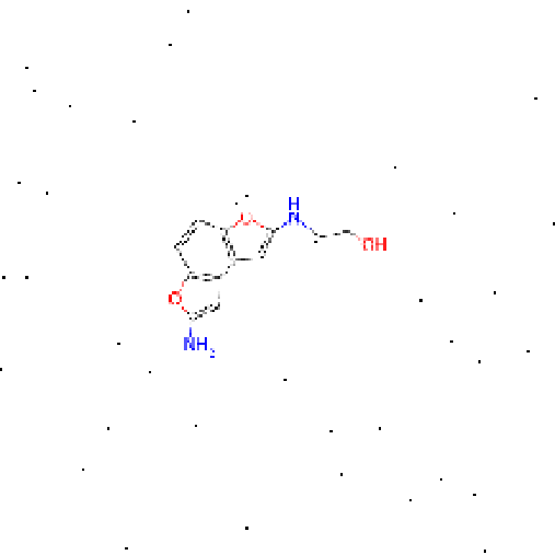 Nc1cc2c(ccc3oc(NCCO)cc32)o1